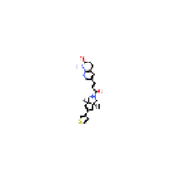 O=C1CCc2cc(/C=C/C(=O)N3C[C@@H]4CC(c5ccsc5)=C[C@@H]4C3)cnc2N1